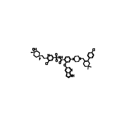 CC1(C)CCC(CN2CCN(c3ccc(C(=O)NS(=O)(=O)c4cnc(CC[C@]5(F)CC[C@@](C)(O)CC5)c(Cl)c4)c(Oc4cnc5[nH]ccc5c4)c3)CC2)=C(c2ccc(Cl)cc2)C1